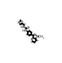 Cn1nc(-c2ccc(NC(=O)NCc3cnco3)cc2)c2ncccc21